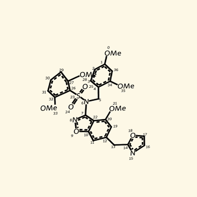 COc1ccc(CN(c2noc3cc(Cc4ncco4)cc(OC)c23)S(=O)(=O)c2c(OC)cccc2OC)c(OC)c1